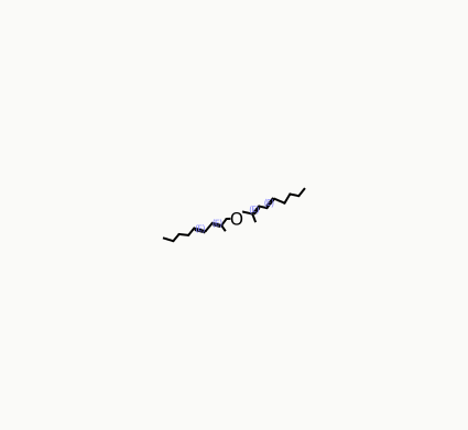 CCCC/C=C/C=C(\C)COC/C(C)=C/C=C/CCCC